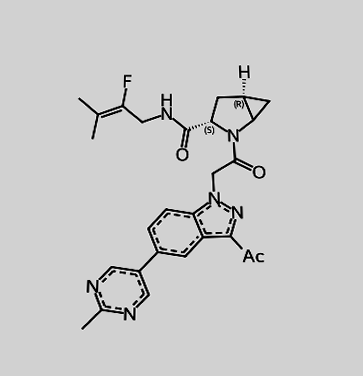 CC(=O)c1nn(CC(=O)N2C3C[C@@H]3C[C@H]2C(=O)NCC(F)=C(C)C)c2ccc(-c3cnc(C)nc3)cc12